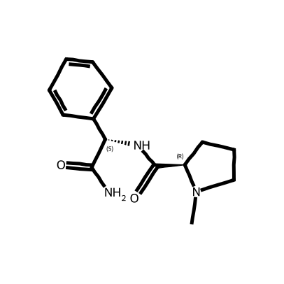 CN1CCC[C@@H]1C(=O)N[C@H](C(N)=O)c1ccccc1